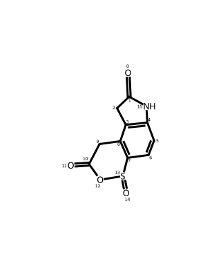 O=C1Cc2c(ccc3c2CC(=O)OS3=O)N1